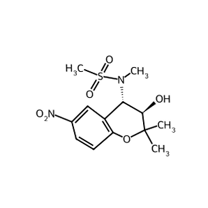 CN([C@H]1c2cc([N+](=O)[O-])ccc2OC(C)(C)[C@@H]1O)S(C)(=O)=O